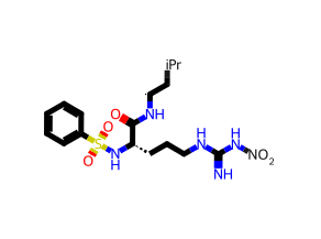 CC(C)C[CH]NC(=O)[C@H](CCCNC(=N)N[N+](=O)[O-])NS(=O)(=O)c1ccccc1